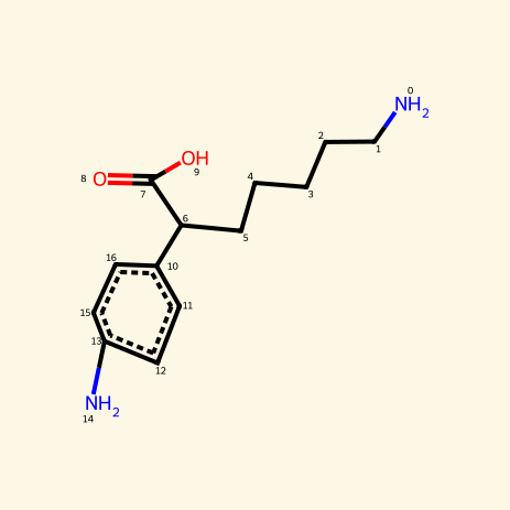 NCCCCCC(C(=O)O)c1ccc(N)cc1